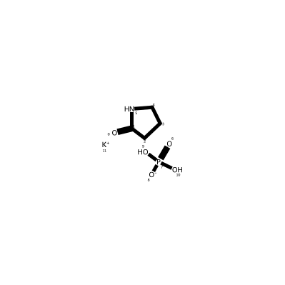 O=C1CCCN1.O=P([O-])(O)O.[K+]